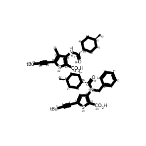 CC(C)(C)C#Cc1cc(N(Cc2ccccc2)C(=O)[C@H]2CC[C@H](C)CC2)c(C(=O)O)s1.Cc1c(C#CC(C)(C)C)sc(C(=O)O)c1NC(=O)[C@H]1CC[C@H](C)CC1